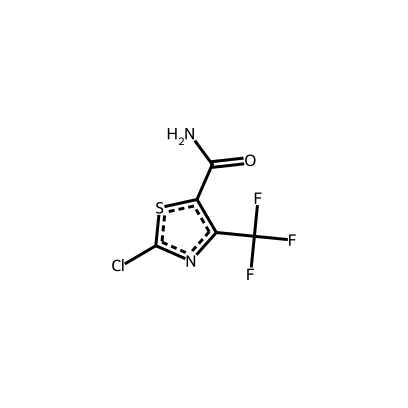 NC(=O)c1sc(Cl)nc1C(F)(F)F